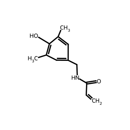 C=CC(=O)NCc1cc(C)c(O)c(C)c1